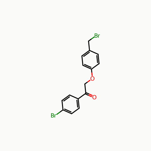 O=C(COc1ccc(CBr)cc1)c1ccc(Br)cc1